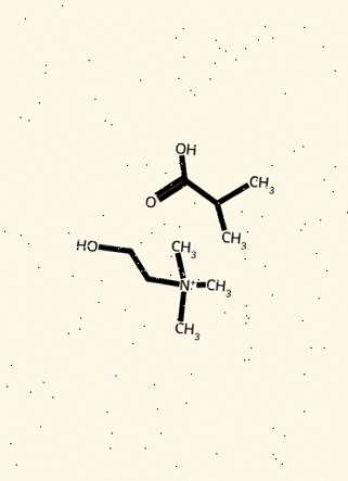 CC(C)C(=O)O.C[N+](C)(C)CCO